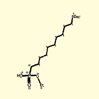 CCCCCCCCCCCCCCCCCCCCP(=O)(O)OCC